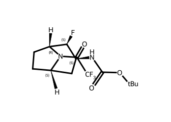 CC(C)(C)OC(=O)N[C@H]1C[C@@H]2CC[C@H]([C@H]1F)N2C(=O)C(F)(F)F